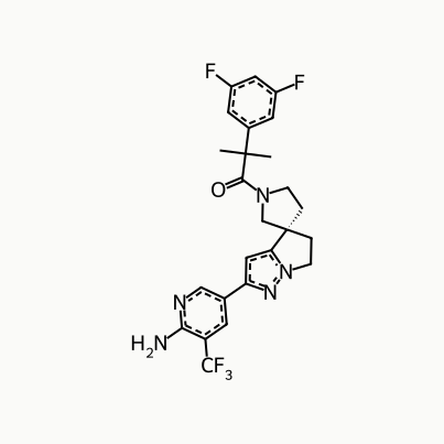 CC(C)(C(=O)N1CC[C@@]2(CCn3nc(-c4cnc(N)c(C(F)(F)F)c4)cc32)C1)c1cc(F)cc(F)c1